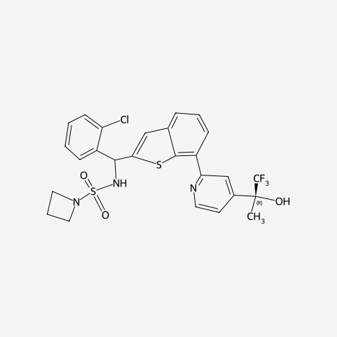 C[C@@](O)(c1ccnc(-c2cccc3cc(C(NS(=O)(=O)N4CCC4)c4ccccc4Cl)sc23)c1)C(F)(F)F